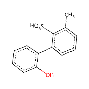 Cc1cccc(-c2ccccc2O)c1S(=O)(=O)O